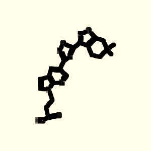 CC1(C)CCc2c(-c3nc(-c4cnc5c(ccn5CCC(=O)O)c4)no3)noc2C1